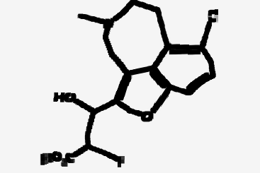 CCOC(=O)C(F)C(O)c1oc2ccc(Cl)c3c2c1CN(C)CC3